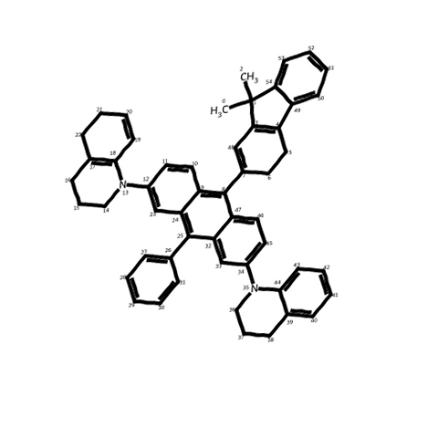 CC1(C)C2=C(CCC(c3c4ccc(N5CCCC6=C5C=CCC6)cc4c(-c4ccccc4)c4cc(N5CCCc6ccccc65)ccc34)=C2)c2ccccc21